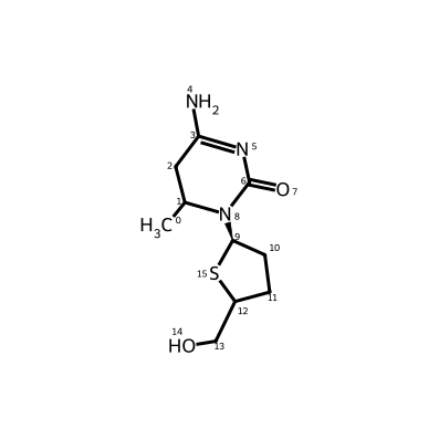 CC1CC(N)=NC(=O)N1[C@H]1CCC(CO)S1